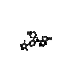 Cc1noc(C)c1-c1ccc2c(c1)C1(CCNCC1)CN2c1ncnc2[nH]ccc12